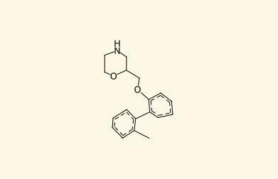 Cc1ccccc1-c1ccccc1OCC1CNCCO1